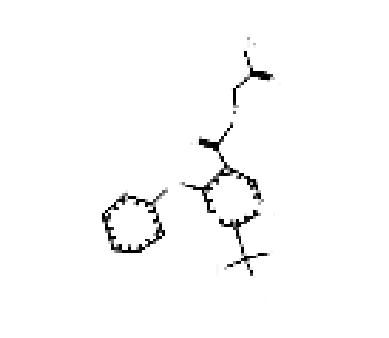 C=C(C#N)CNC(=O)c1cnc(C(C)(F)F)nc1Oc1ccccc1